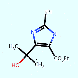 CCCC1=NC(C(C)(C)O)=C(C(=O)OCC)[N]1